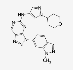 Cn1ncc2ccc(-n3nnc4cnc(Nc5cnn(C6CCOCC6)c5)nc43)cc21